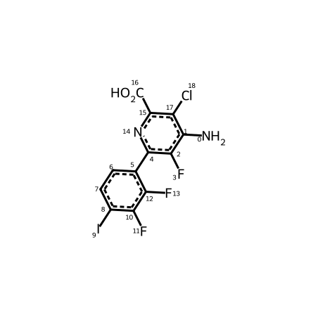 Nc1c(F)c(-c2ccc(I)c(F)c2F)nc(C(=O)O)c1Cl